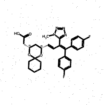 Cn1nnnc1C(C=C[C@H]1C[C@@H](CC(=O)O)OC2(CCCCC2)O1)=C(c1ccc(F)cc1)c1ccc(F)cc1